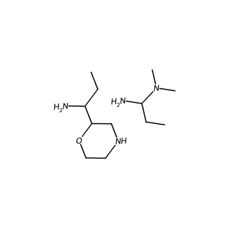 CCC(N)C1CNCCO1.CCC(N)N(C)C